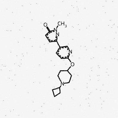 Cn1nc(-c2ccc(OC3CCN(C4CCC4)CC3)nc2)ccc1=O